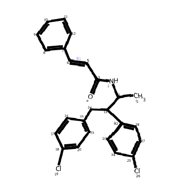 CC(NC(=O)/C=C/c1ccccc1)C(Cc1ccc(Cl)cc1)c1ccc(Cl)cc1